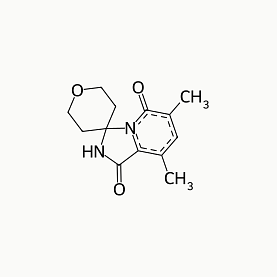 Cc1cc(C)c(=O)n2c1C(=O)NC21CCOCC1